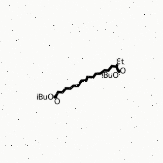 CCC(CCCCCCCCCCCCCCCC(=O)OCC(C)C)C(=O)OCC(C)C